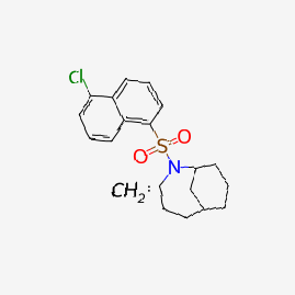 O=S(=O)(c1cccc2c(Cl)cccc12)N1CCCC2CCCC1C2.[CH2]